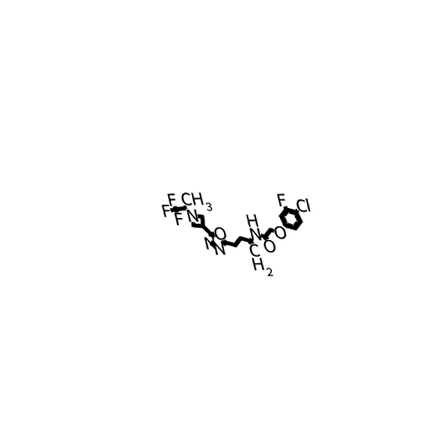 C=C(CCc1nnc(C2CN([C@H](C)C(F)(F)F)C2)o1)NC(=O)COc1ccc(Cl)c(F)c1